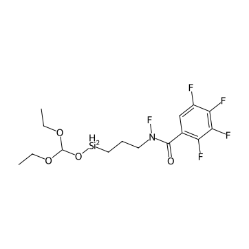 CCOC(OCC)O[SiH2]CCCN(F)C(=O)c1cc(F)c(F)c(F)c1F